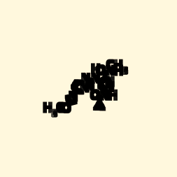 CNC(=O)c1nnc(NC(=O)C2CC2)cc1Nc1nc2ccc(N3CC(OC)C3)cn2n1